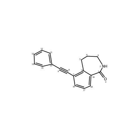 O=C1NCCCc2c(C#Cc3ccccc3)cccc21